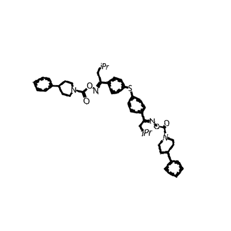 CC(C)C/C(=N\OC(=O)N1CCC(c2ccccc2)CC1)c1ccc(Sc2ccc(/C(CC(C)C)=N/OC(=O)N3CCC(c4ccccc4)CC3)cc2)cc1